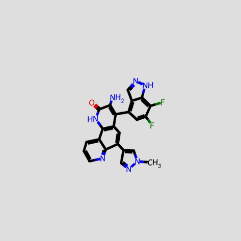 Cn1cc(-c2cc3c(-c4cc(F)c(F)c5[nH]ncc45)c(N)c(=O)[nH]c3c3cccnc23)cn1